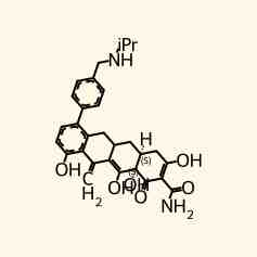 C=C1C2=C(O)[C@]3(O)C(=O)C(C(N)=O)=C(O)C[C@@H]3CC2Cc2c(-c3ccc(CNC(C)C)cc3)ccc(O)c21